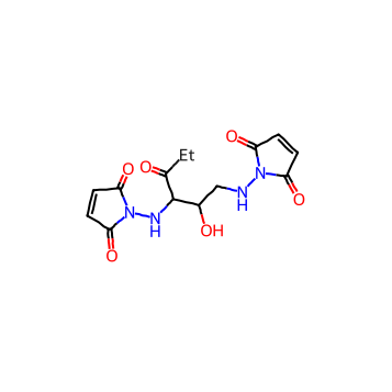 CCC(=O)C(NN1C(=O)C=CC1=O)C(O)CNN1C(=O)C=CC1=O